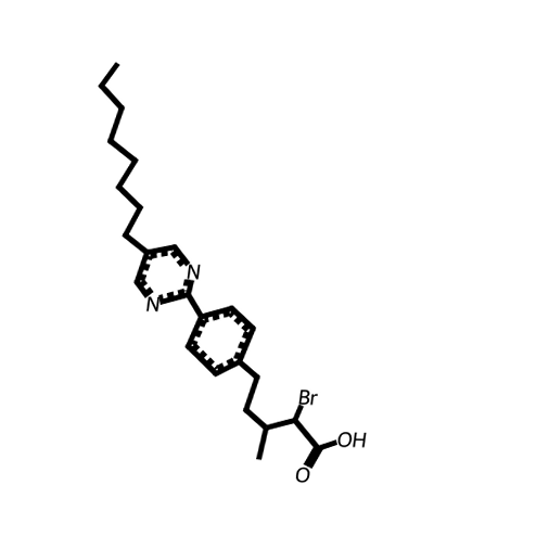 CCCCCCCCc1cnc(-c2ccc(CCC(C)C(Br)C(=O)O)cc2)nc1